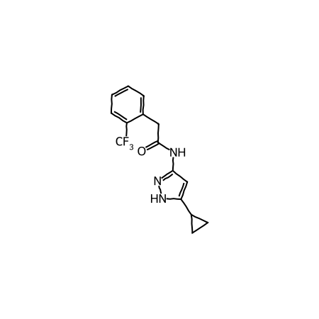 O=C(Cc1ccccc1C(F)(F)F)Nc1cc(C2CC2)[nH]n1